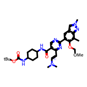 COCOc1c(-c2ncc(C(=O)NC3CCC(NC(=O)OC(C)(C)C)CC3)c(/C=C/N(C)C)n2)cc2cn(C)nc2c1C